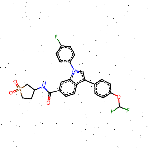 O=C(NC1CCS(=O)(=O)C1)c1ccc2c(-c3ccc(OC(F)F)cc3)cn(-c3ccc(F)cc3)c2c1